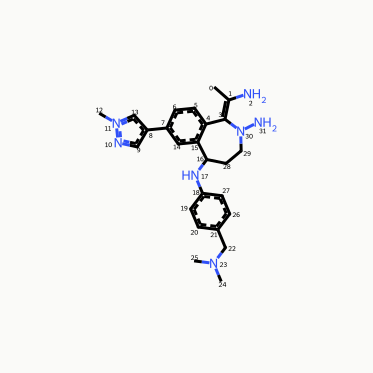 C/C(N)=C1\c2ccc(-c3cnn(C)c3)cc2C(Nc2ccc(CN(C)C)cc2)CCN1N